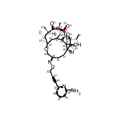 CC[C@H]1OC(=O)[C@H](C)C(=O)[C@H](C)[C@@H](C)[C@@]2(C)C[C@@H](C)/C(=N\C(C)=O)[C@H](C)[C@@H](CC/C(=N\OCC#Cc3cccc(N)n3)CO2)[C@]1(C)O